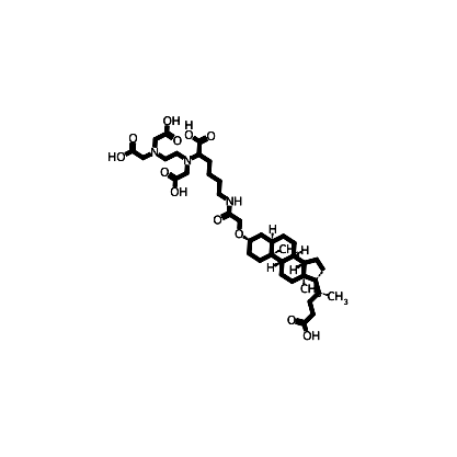 C[C@H](CCC(=O)O)[C@H]1CC[C@H]2[C@@H]3CC[C@@H]4C[C@H](OCC(=O)NCCCCC(C(=O)O)N(CCN(CC(=O)O)CC(=O)O)CC(=O)O)CC[C@]4(C)[C@H]3CC[C@]12C